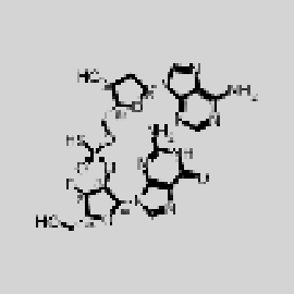 Nc1nc2c(ncn2[C@@H]2O[C@H](CO)[C@@H](F)[C@H]2OP(=O)(S)OC[C@H]2O[C@@H](n3cnc4c(N)ncnc43)C[C@H]2O)c(=O)[nH]1